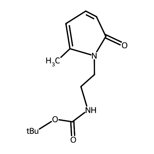 Cc1cccc(=O)n1CCNC(=O)OC(C)(C)C